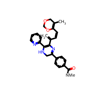 C=C(/C=C\C1=C(C)COCO1)C1=C(c2ccccn2)NCC(c2ccc(C(=O)NC)cc2)=N1